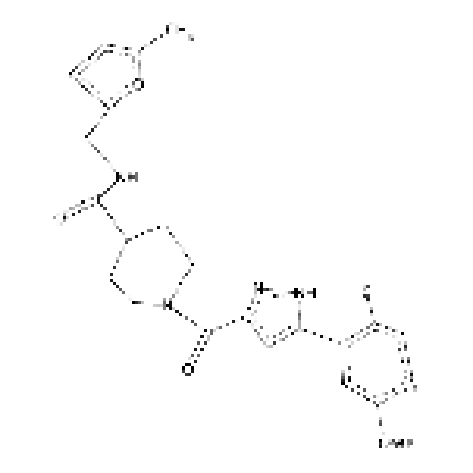 COc1cc(-c2cc(C(=O)N3CCC(C(=O)NCc4ccc(C)o4)CC3)n[nH]2)c(Cl)cn1